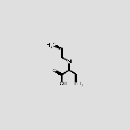 C=CCNC(C=C)C(=O)O